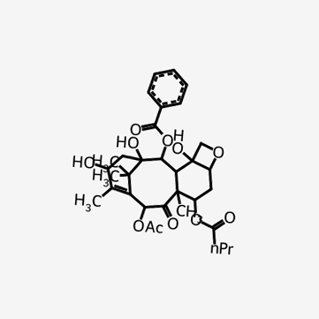 CCCC(=O)OC1CC2OCC2(O)C2C(OC(=O)c3ccccc3)C3(O)CC(O)C(C)=C(C(OC(C)=O)C(=O)C12C)C3(C)C